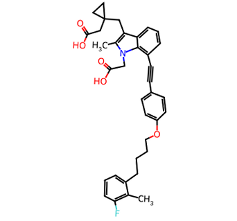 Cc1c(F)cccc1CCCCOc1ccc(C#Cc2cccc3c(CC4(CC(=O)O)CC4)c(C)n(CC(=O)O)c23)cc1